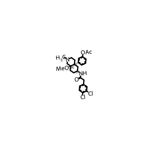 CO[C@]12CC[C@H](NC(=O)Cc3ccc(Cl)c(Cl)c3)C[C@]1(c1cccc(OC(C)=O)c1)CCN(C)C2